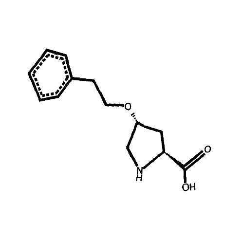 O=C(O)[C@@H]1C[C@@H](OCCc2ccccc2)CN1